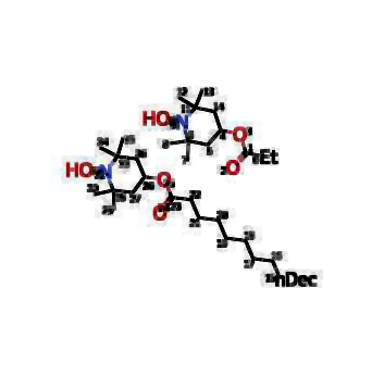 CCC(=O)OC1CC(C)(C)N(O)C(C)(C)C1.CCCCCCCCCCCCCCCCCC(=O)OC1CC(C)(C)N(O)C(C)(C)C1